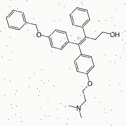 CN(C)CCOc1ccc(/C(=C(\CCO)c2ccccc2)c2ccc(OCc3ccccc3)cc2)cc1